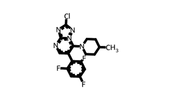 CC1CCN(c2c(-c3c(F)cc(F)cc3F)cnc3nc(Cl)nn23)CC1